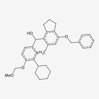 COCOc1ccc(C(O)c2c(C)cc(OCc3ccccc3)c3c2CCC3)nc1C1CCCCC1